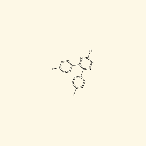 Clc1nnc(-c2ccc(I)cc2)c(-c2ccc(I)cc2)n1